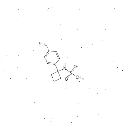 Cc1ccc(C2(NS(C)(=O)=O)CCC2)cc1